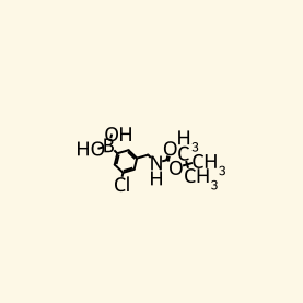 CC(C)(C)OC(=O)NCc1cc(Cl)cc(B(O)O)c1